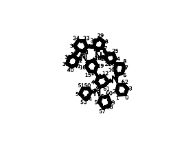 c1ccc(N(c2ccccc2)c2cc(-c3ccc4c(c3)n3c5ccccc5c5cccc(c6cccc7c8ccccc8n4c76)c53)cc(N(c3ccccc3)c3ccccc3)c2)cc1